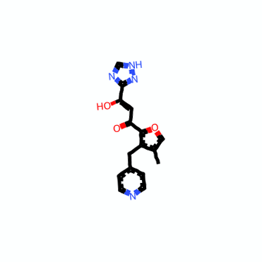 Cc1coc(C(=O)C=C(O)c2nc[nH]n2)c1Cc1ccncc1